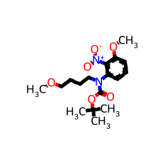 COCCCCN(C(=O)OC(C)(C)C)c1cccc(OC)c1[N+](=O)[O-]